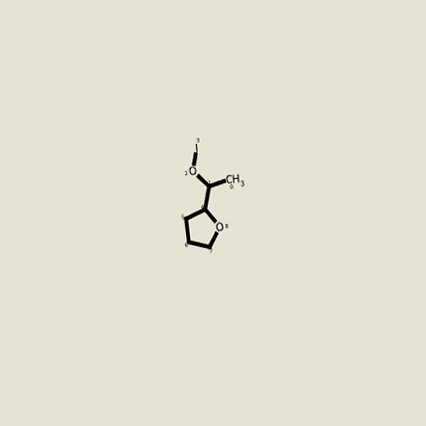 CC(OI)C1CCCO1